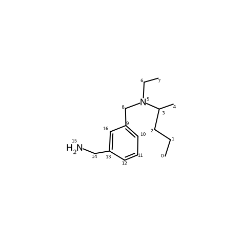 CCCC(C)N(CC)Cc1cccc(CN)c1